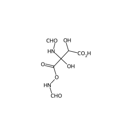 O=CNOC(=O)C(O)(NC=O)C(O)C(=O)O